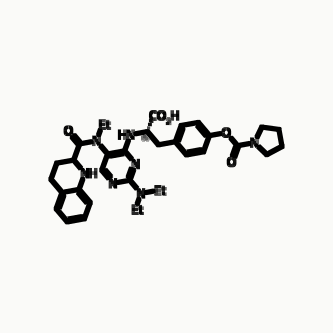 CCN(CC)c1ncc(N(CC)C(=O)C2CCc3ccccc3N2)c(N[C@@H](Cc2ccc(OC(=O)N3CCCC3)cc2)C(=O)O)n1